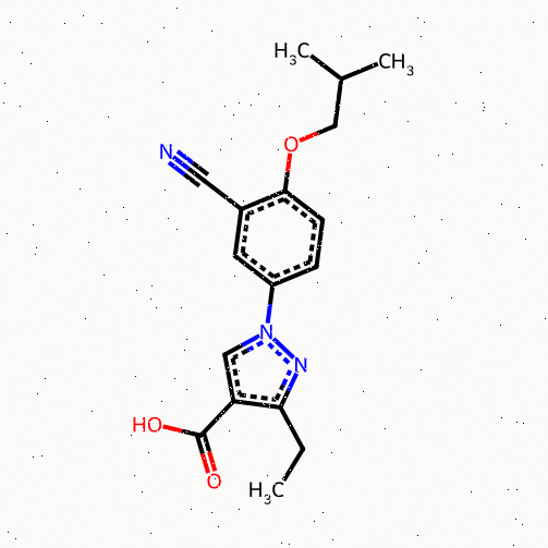 CCc1nn(-c2ccc(OCC(C)C)c(C#N)c2)cc1C(=O)O